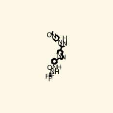 CC(=O)N1CCC(N/C=C(\C=N)c2ccn3c(-c4cccc(NC(=O)NCC(F)(F)F)c4)cnc3c2)CC1